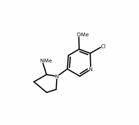 CNC1CCCN1c1cnc(Cl)c(OC)c1